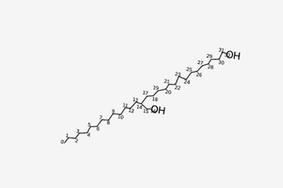 CCCCCCCCCCCCCCC(CO)CCCCCCCCCCCCCCCO